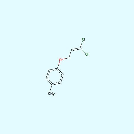 [CH2]c1ccc(OCC=C(Cl)Cl)cc1